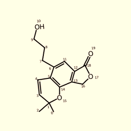 CC1(C)C=Cc2c(CCCO)cc3c(c2O1)COC3=O